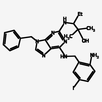 CCC(Nc1nc(NCc2cc(I)ccc2N)c2ncn(Cc3ccccc3)c2n1)C(C)(C)O